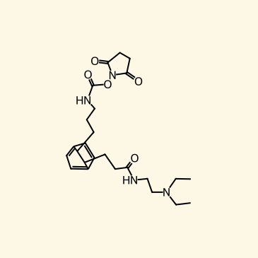 CCN(CC)CCNC(=O)CCC1c2ccc(cc2)C1CCCNC(=O)ON1C(=O)CCC1=O